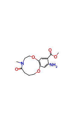 COC(=O)c1cc2c(cc1N)OCCCC(=O)N(C)CCO2